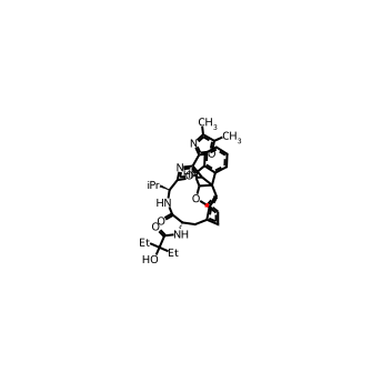 CCC(O)(CC)C(=O)N[C@H]1Cc2ccc3c(c2)C2(c4ccccc4NC2O3)c2oc(nc2-c2nc(C)c(C)o2)[C@H](C(C)C)NC1=O